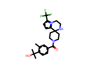 Cc1cc(C(=O)N2CCC3(CC2)NCCn2c(C(F)(F)F)ccc23)ccc1C(C)(C)O